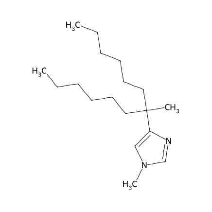 CCCCCCC(C)(CCCCCC)c1cn(C)cn1